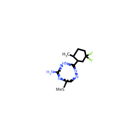 CSc1cnnc(C2CC(F)(F)CCC2C)[nH]nc(N)n1